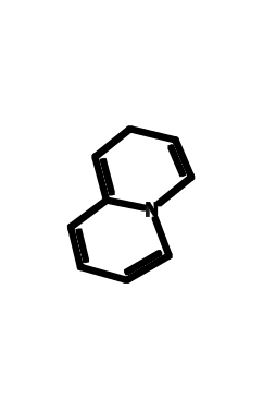 C1=CC2=CCC=CN2C=C1